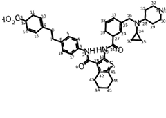 O=C(Nc1ccc(CCC2=CCC(C(=O)O)C=C2)cc1)c1c(NC(=O)C2C=C(CN(C3CCNCC3)C3CC3)C=CC2)sc2c1CCCC2